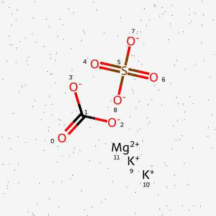 O=C([O-])[O-].O=S(=O)([O-])[O-].[K+].[K+].[Mg+2]